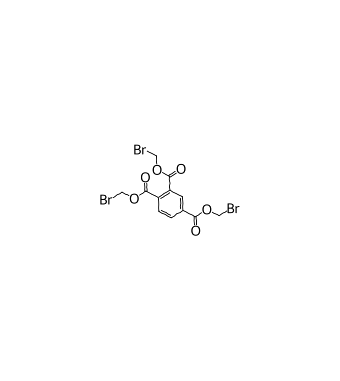 O=C(OCBr)c1ccc(C(=O)OCBr)c(C(=O)OCBr)c1